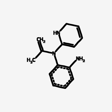 C=C(C)N(C1=CC=CCN1)c1ccccc1N